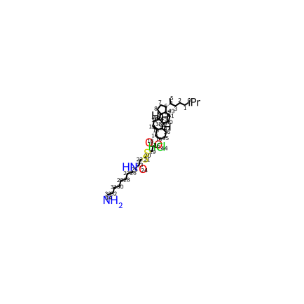 CC(C)CCCC(C)[C@H]1CC[C@H]2[C@@H]3CC=C4C[C@@H](OC(=O)CSSCC(=O)NCCCCCCCCN)CC[C@]4(C)[C@H]3CC[C@]12C.Cl